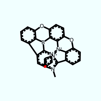 Cn1c2[n+](c3ccccc31)[N+]13c4c(cccc4-2)Oc2ccc4c(c21)B1c2c(cccc2-c2ccc[n+]3c21)O4